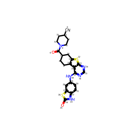 N#CC1CCN(C(=O)C2CCc3c(sc4ncnc(Nc5ccc6[nH]c(=O)sc6c5)c34)C2)CC1